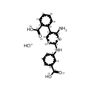 Cl.Nc1nc(Nc2cccc(C(=O)O)c2)ncc1-c1ccccc1C(=O)O